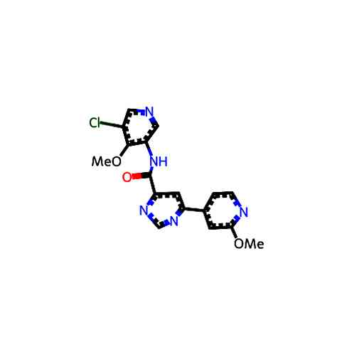 COc1cc(-c2cc(C(=O)Nc3cncc(Cl)c3OC)ncn2)ccn1